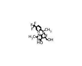 Cc1nc2c(c(CO)nn2[C@H](C)c2ccc(C(F)(F)F)cn2)c(=O)[nH]1